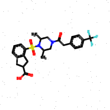 CC1CN(C(=O)Cc2ccc(C(F)(F)F)cc2)CC(C)N1S(=O)(=O)c1cccc2c1CC(C(=O)O)C2